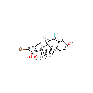 C[C@]12CCC(=O)C=C1C(F)C[C@@H]1C2=CC[C@@]2(C)[C@H]1CC[C@]2(O)C(=O)CBr